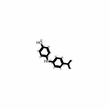 CC(C)c1ccc(Nc2ccc(O)cc2)cc1